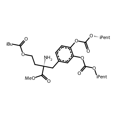 CCCC(C)OC(=O)Oc1cc(C[C@](N)(CCOC(=O)C(C)CC)C(=O)OC)ccc1OC(=O)O[C@@H](C)CCC